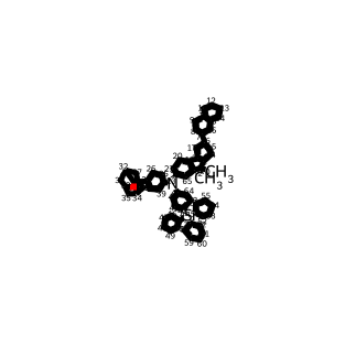 CC1(C)c2ccc(-c3ccc4ccccc4c3)cc2-c2ccc(N(c3ccc(C45CC6CC(CC(C6)C4)C5)cc3)c3ccc([Si](c4ccccc4)(c4ccccc4)c4ccccc4)cc3)cc21